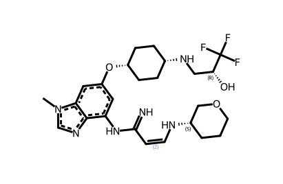 Cn1cnc2c(NC(=N)/C=C\N[C@H]3CCCOC3)cc(O[C@H]3CC[C@@H](NC[C@@H](O)C(F)(F)F)CC3)cc21